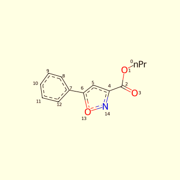 CCCOC(=O)c1cc(-c2ccccc2)on1